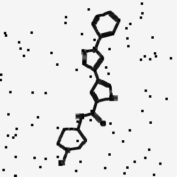 CCN1CCC(NC(=O)c2cc(-c3cnn(-c4ccccc4)c3)c[nH]2)CC1